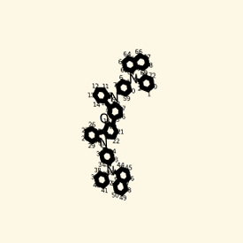 c1ccc(N(c2ccc(-n3c4ccccc4c4c5oc6c(ccc7c6c6ccccc6n7-c6ccc(N(c7ccccc7)c7cccc8ccccc78)cc6)c5ccc43)cc2)c2cccc3ccccc23)cc1